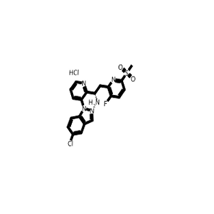 CS(=O)(=O)c1ccc(F)c(C[C@H](N)c2ncccc2-n2ncc3cc(Cl)ccc32)n1.Cl